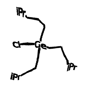 CC(C)[CH2][Ge]([Cl])([CH2]C(C)C)[CH2]C(C)C